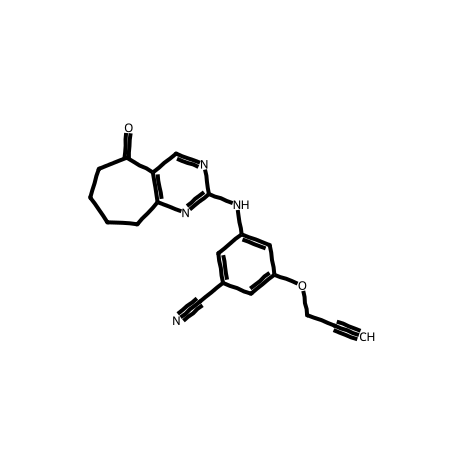 C#CCOc1cc(C#N)cc(Nc2ncc3c(n2)CCCCC3=O)c1